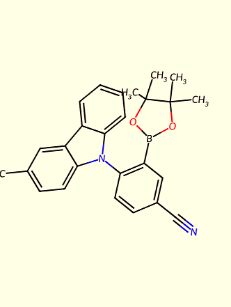 Cc1ccc2c(c1)c1ccccc1n2-c1ccc(C#N)cc1B1OC(C)(C)C(C)(C)O1